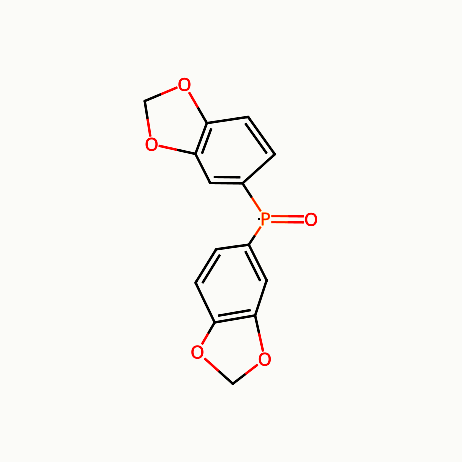 O=[P](c1ccc2c(c1)OCO2)c1ccc2c(c1)OCO2